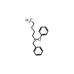 CCSCCN(Cc1ccccc1)Oc1ccccc1